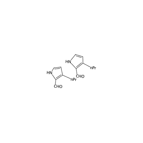 CCCc1cc[nH]c1C=O.CCCc1cc[nH]c1C=O